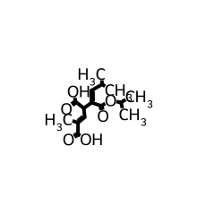 CC(=CC(C(=O)O)C(=CC(C)C)C(=O)OC(C)C)C(=O)O